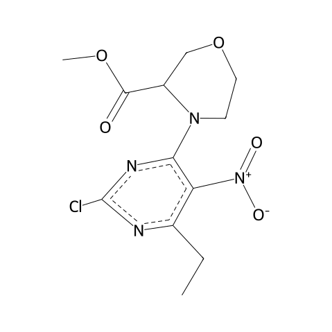 CCc1nc(Cl)nc(N2CCOCC2C(=O)OC)c1[N+](=O)[O-]